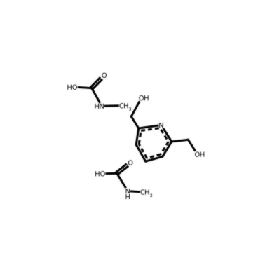 CNC(=O)O.CNC(=O)O.OCc1cccc(CO)n1